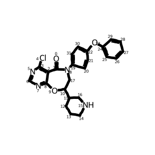 O=C1c2c(Cl)ncnc2OC(C2CCCNC2)CN1c1ccc(Oc2ccccc2)cc1